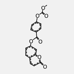 COC(=O)Oc1ccc(C(=O)Oc2ccc3ccc(=O)oc3c2)cc1